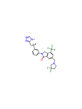 C[C@H](Cc1nncn1C)c1cccc(N2Cc3c(cc(CN4CCC(F)(F)C4)cc3C(F)(F)F)C2=O)c1